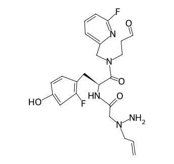 C=CCN(N)CC(=O)N[C@@H](Cc1ccc(O)cc1F)C(=O)N(CCC=O)Cc1cccc(F)n1